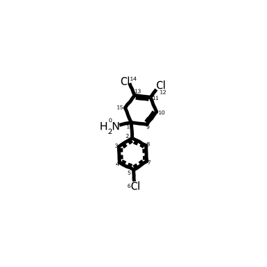 NC1(c2ccc(Cl)cc2)C=CC(Cl)=C(Cl)C1